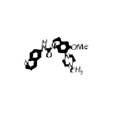 COc1cc2c(cc1N1CCN(C)CC1)N(C(=O)Nc1ccc3ncccc3c1)CC2